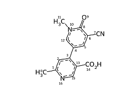 Cc1cc(-c2cc(C#N)c(=O)n(C)c2)c(C(=O)O)cn1